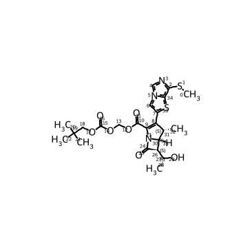 CSc1ncn2cc(C3=C(C(=O)OCOC(=O)OCC(C)(C)C)N4C(=O)[C@H]([C@@H](C)O)[C@H]4[C@H]3C)sc12